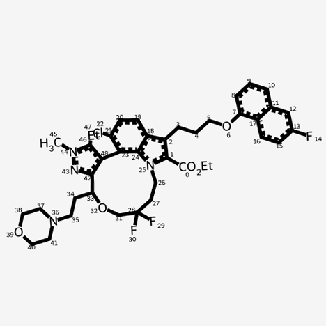 CCOC(=O)c1c(CCCOc2cccc3cc(F)ccc23)c2ccc(Cl)c3c2n1CCC(F)(F)COC(CCN1CCOCC1)c1nn(C)c(CC)c1-3